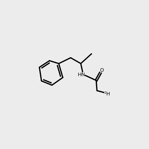 [2H]CC(=O)NC(C)Cc1ccccc1